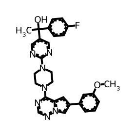 COc1cccc(-c2cc3c(N4CCN(c5ncc(C(C)(O)c6ccc(F)cc6)cn5)CC4)ncnn3c2)c1